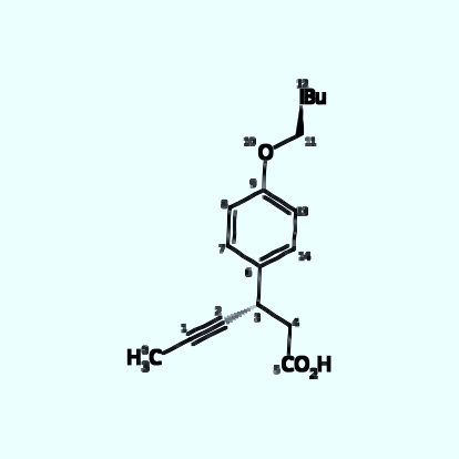 CC#C[C@@H](CC(=O)O)c1ccc(OC[C@H](C)CC)cc1